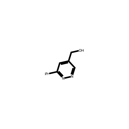 CC(C)c1cc(CO)cnn1